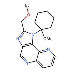 CCOCc1nc2cnc3cccnc3c2n1C1(OC)CCCCC1